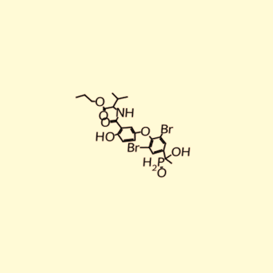 CCCOC(=O)C(NC(=O)c1cc(Oc2c(Br)cc(C(C)(O)[PH2]=O)cc2Br)ccc1O)C(C)C